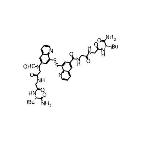 CC[C@H](C)[C@H](NC(=O)CNC(=O)CNC(=O)c1cc(SSc2cc(N(C=O)CC(=O)NCC(=O)N[C@H](C(N)=O)[C@@H](C)CC)cc3cccnc23)c2ncccc2c1)C(N)=O